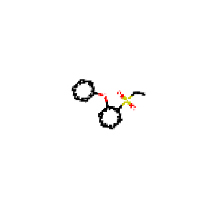 CCS(=O)(=O)c1ccccc1Oc1ccccc1